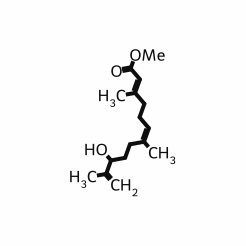 C=C(C)C(O)CCC(C)=CCC/C(C)=C/C(=O)OC